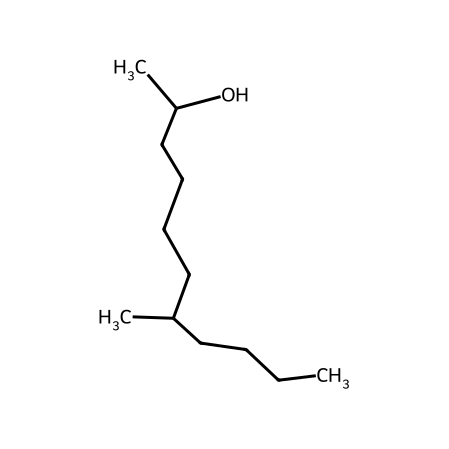 CCCCC(C)CCCCC(C)O